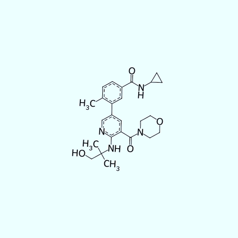 Cc1ccc(C(=O)NC2CC2)cc1-c1cnc(NC(C)(C)CO)c(C(=O)N2CCOCC2)c1